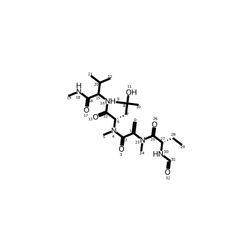 C=C(C(=O)N(C)[C@@H](CC(C)(C)O)C(=O)NC(C(=O)NC)C(C)C)N(C)C(=O)[C@H](CC)NC=O